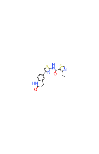 CCc1ncsc1C(=O)Nc1nc(-c2ccc3c(c2)CCC(=O)N3)cs1